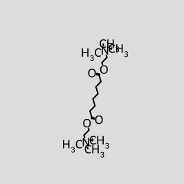 C[N+](C)(C)CCOC(=O)CCCCCCC(=O)OCC[N+](C)(C)C